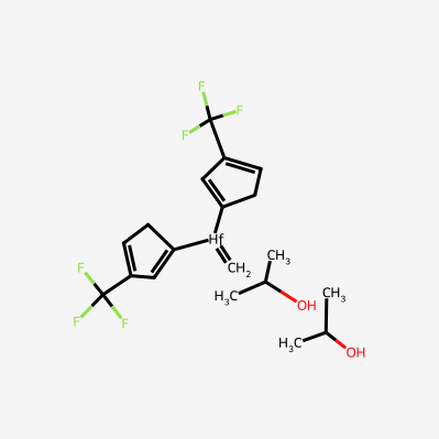 CC(C)O.CC(C)O.[CH2]=[Hf]([C]1=CC(C(F)(F)F)=CC1)[C]1=CC(C(F)(F)F)=CC1